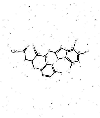 COC(=O)CC1Oc2ccc(C)cc2N(Cc2nc3c(F)c(F)cc(F)c3s2)C1=O